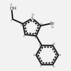 OCc1cc(-c2ccccc2)c(Br)s1